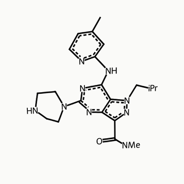 CNC(=O)c1nn(CC(C)C)c2c(Nc3cc(C)ccn3)nc(N3CCNCC3)nc12